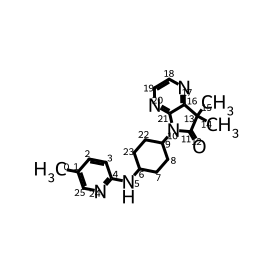 Cc1ccc(NC2CCC(N3C(=O)C(C)(C)c4nccnc43)CC2)nc1